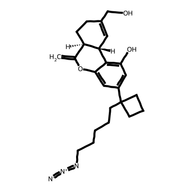 C=C1Oc2cc(C3(CCCCCN=[N+]=[N-])CCC3)cc(O)c2[C@H]2C=C(CO)CC[C@H]12